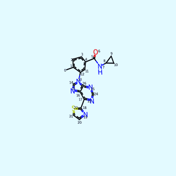 Cc1ccc(C(=O)NC2CC2)cc1-n1cnc2c(-c3nccs3)ncnc21